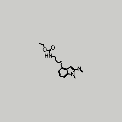 C=Nc1cc2c(SCCNC(=O)OCC)cccc2n1C